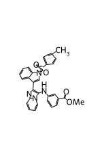 COC(=O)c1cccc(Nc2c(-c3cn(S(=O)(=O)c4ccc(C)cc4)c4ccccc34)nc3ccccn23)c1